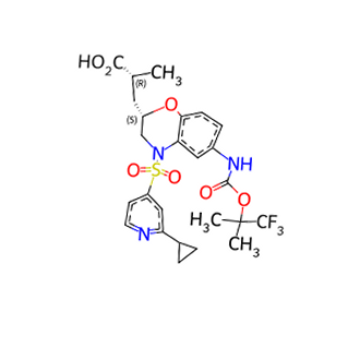 C[C@H](C[C@H]1CN(S(=O)(=O)c2ccnc(C3CC3)c2)c2cc(NC(=O)OC(C)(C)C(F)(F)F)ccc2O1)C(=O)O